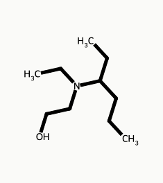 CCCC(CC)N(CC)CCO